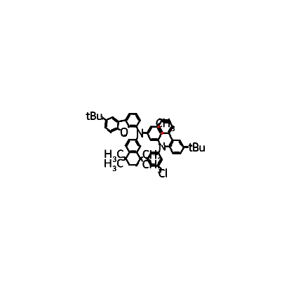 Cc1cc(N(c2cccc(Cl)c2)c2ccc(C(C)(C)C)cc2-c2ccccc2)cc(N(c2ccc3c(c2)C(C)(C)CCC3(C)C)c2cccc3c2oc2ccc(C(C)(C)C)cc23)c1